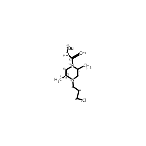 CC1CN(CCCCl)[C@@H](C)CN1C(=O)OC(C)(C)C